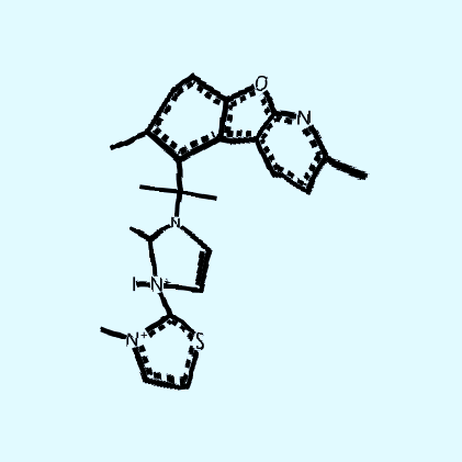 Cc1ccc2c(n1)oc1ccc(C)c(C(C)(C)N3C=C[N+](I)(c4scc[n+]4C)C3C)c12